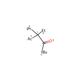 CCC(C(C)=O)(C(=O)C(C)(C)C)C(C)C